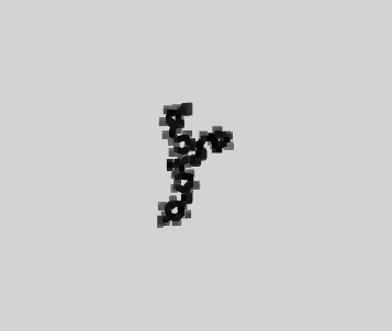 O=C(Nc1ccc(Oc2ccc(F)cc2)cc1)[C@@H]1C[C@@H](Cc2ccc(Cl)s2)CN1C(=O)Cn1cncn1